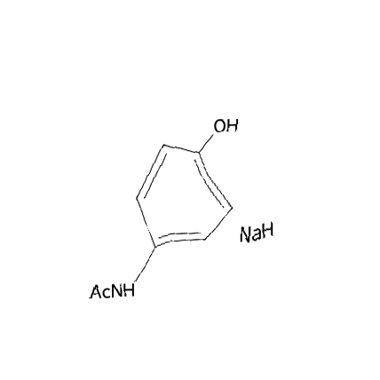 CC(=O)Nc1ccc(O)cc1.[NaH]